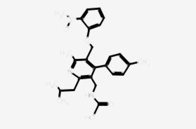 Cc1ccc(-c2c(COc3ccccc3[S+](C)[O-])c(C)nc(CC(C)C)c2CNC(=O)O)cc1